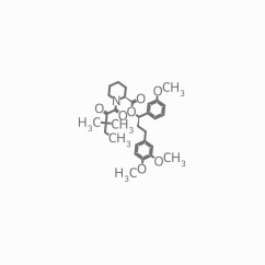 CCC(C)(C)C(=O)C(=O)N1CCCC[C@H]1C(=O)O[C@H](CCc1ccc(OC)c(OC)c1)c1cccc(OC)c1